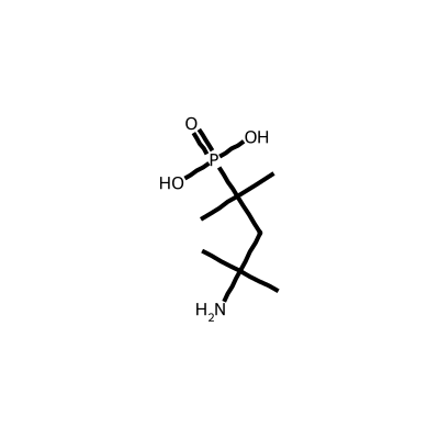 CC(C)(N)CC(C)(C)P(=O)(O)O